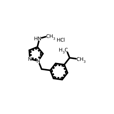 CNc1cnn(Cc2cccc(C(C)C)c2)c1.Cl